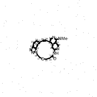 CNc1ncc2c3cc(ncc13)NC(=O)CCOCCn1nnc3ccc(cc31)C#C2